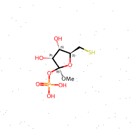 CO[C@@]1(OP(=O)(O)O)O[C@H](CS)[C@@H](O)[C@H]1O